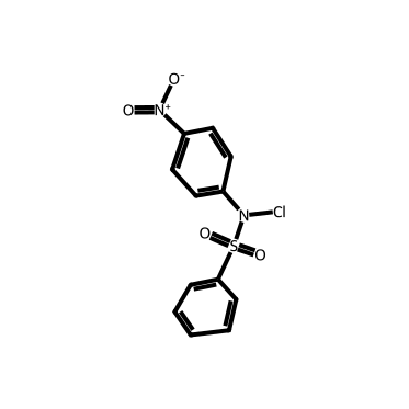 O=[N+]([O-])c1ccc(N(Cl)S(=O)(=O)c2ccccc2)cc1